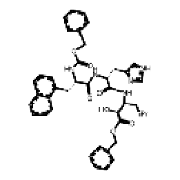 CC(C)C[C@H](NC(=O)[C@@H](Cc1c[nH]cn1)NC(=O)[C@H](Cc1cccc2ccccc12)NC(=O)OCc1ccccc1)[C@H](O)C(=O)OCc1ccccc1